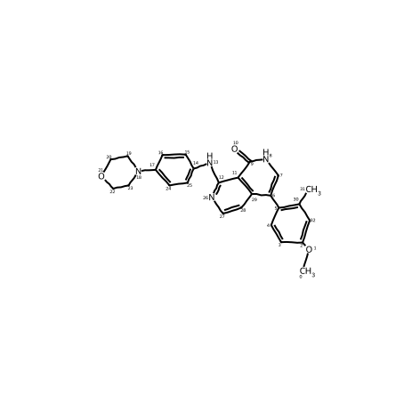 COc1ccc(-c2c[nH]c(=O)c3c(Nc4ccc(N5CCOCC5)cc4)nccc23)c(C)c1